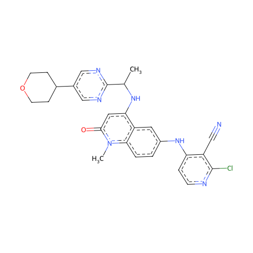 CC(Nc1cc(=O)n(C)c2ccc(Nc3ccnc(Cl)c3C#N)cc12)c1ncc(C2CCOCC2)cn1